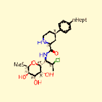 CCCCCCCc1ccc([C@@H]2CCN[C@H](C(=O)NC([C@H](C)Cl)[C@H]3O[C@H](SC)[C@H](O)[C@@H](O)[C@H]3O)C2)cc1